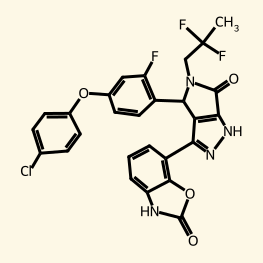 CC(F)(F)CN1C(=O)c2[nH]nc(-c3cccc4[nH]c(=O)oc34)c2C1c1ccc(Oc2ccc(Cl)cc2)cc1F